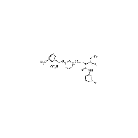 Cc1cccc(COC2CCC[C@H](OCCN(C(=O)Nc3cccc(F)c3)C(C)CC(C)C)C2)c1C(=O)O